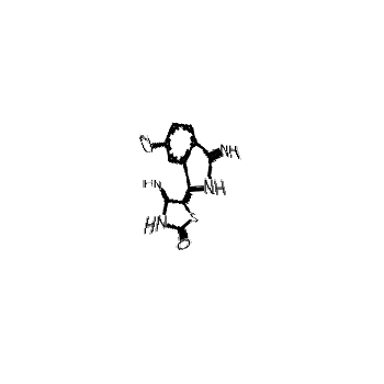 N=C1NC(=O)SC1=C1NC(=N)c2ccc(Cl)cc21